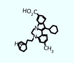 Cc1ccc2c(c1)N(CCC13CCC(CC1)N3)CCn1c-2c(C2CCCCC2)c2ccc(C(=O)O)cc21